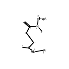 C=C(CCC(C)NC(C)C)N(C)CCCCCCC